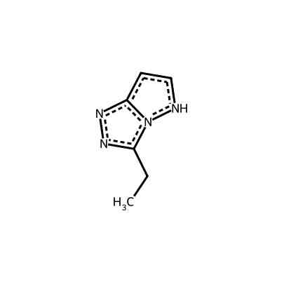 CCc1nnc2cc[nH]n12